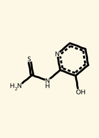 NC(=S)Nc1ncccc1O